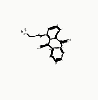 CCCCc1cccc2c1C(=S)c1ccccc1C2=O